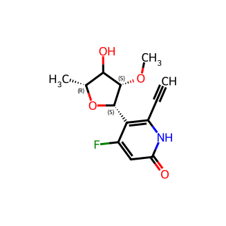 C#Cc1[nH]c(=O)cc(F)c1[C@@H]1O[C@H](C)C(O)[C@@H]1OC